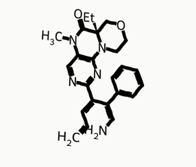 C=C/C=C(\C(=C/N)c1ccccc1)c1ncc2c(n1)N1CCOC[C@@]1(CC)C(=O)N2C